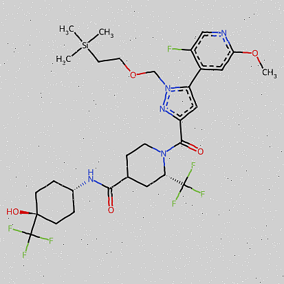 COc1cc(-c2cc(C(=O)N3CCC(C(=O)N[C@H]4CC[C@@](O)(C(F)(F)F)CC4)C[C@H]3C(F)(F)F)nn2COCC[Si](C)(C)C)c(F)cn1